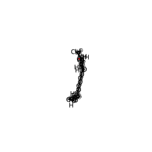 CC1CC(O)(C(=O)NCc2cc(F)cc(Cl)c2)C(=O)N1c1ccc2[nH]c(C(=O)NCCOCCOCCOCCOCCOCCNc3cccc4c3C(=O)N(C3CCC(=O)NC3=O)C4=O)cc2c1